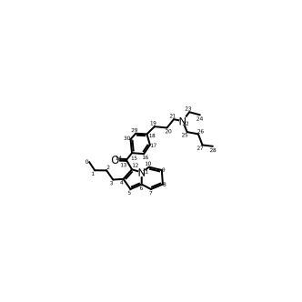 CCCCc1cc2ccccn2c1C(=O)c1ccc(CCCN(CC)CCCC)cc1